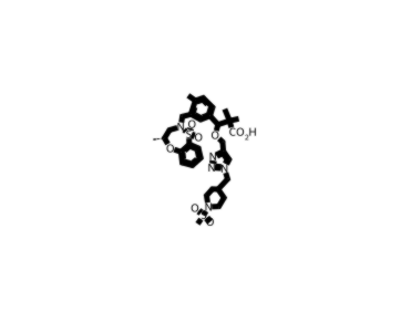 Cc1ccc(C(OCc2cn(CC3CCN(S(C)(=O)=O)CC3)nn2)C(C)(C)C(=O)O)cc1CN1C[C@@H](C)Oc2ccccc2S1(=O)=O